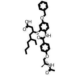 CCCCC(CC)CC(CC(=O)O)Sc1cc(OCc2ccccc2)ccc1NC(=O)c1ccc(OC[C@H](C)NC(C)=O)cc1